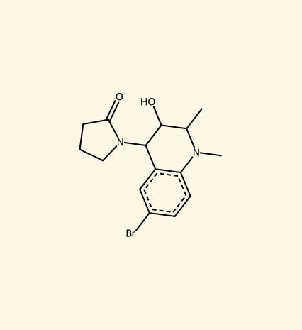 CC1C(O)C(N2CCCC2=O)c2cc(Br)ccc2N1C